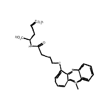 C[n+]1c2ccccc2nc2c(OCCCC(=O)NC(CCC(=O)O)C(=O)O)cccc21